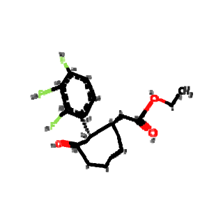 CCOC(=O)C[C@H]1CCCC(=O)[C@@H]1c1ccc(F)c(F)c1F